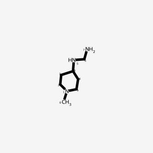 CN1CCC(NCN)CC1